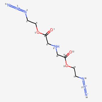 [N-]=[N+]=NCCOC(=O)CNCC(=O)OCCN=[N+]=[N-]